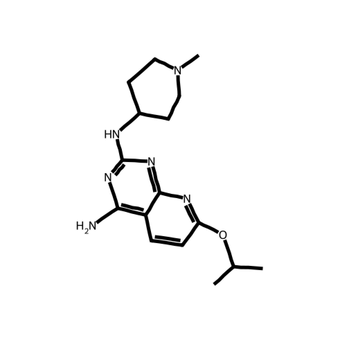 CC(C)Oc1ccc2c(N)nc(NC3CCN(C)CC3)nc2n1